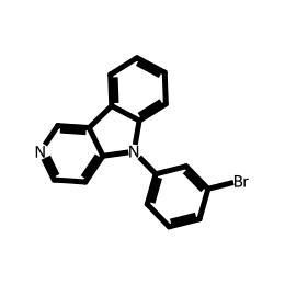 Brc1cccc(-n2c3ccccc3c3cnccc32)c1